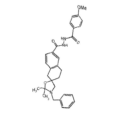 COc1ccc(C(=O)NNC(=O)c2ccc3c(c2)CCC2(C3)CN(Cc3ccccc3)C(C)(C)O2)cc1